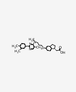 Cc1ccc(-c2ncc(C)c(N(C)CCCOc3ccc4c(c3)CC[C@H]4CC(=O)O)n2)cc1C